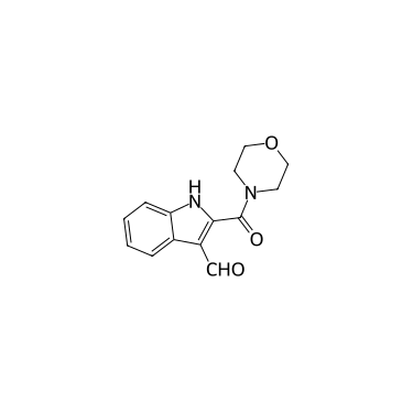 O=Cc1c(C(=O)N2CCOCC2)[nH]c2ccccc12